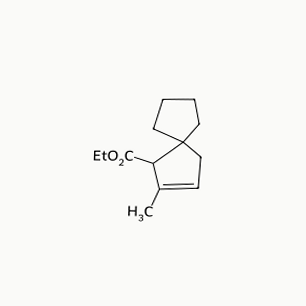 CCOC(=O)C1C(C)=CCC12CCCC2